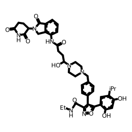 CCNC(=O)c1noc(-c2cc(C(C)C)c(O)cc2O)c1-c1ccc(CN2CCN(C(O)CCC(=O)Nc3cccc4c3CN(C3CCC(=O)NC3=O)C4=O)CC2)cc1